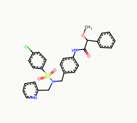 COC(C(=O)Nc1ccc(CN(Cc2ccccn2)S(=O)(=O)c2ccc(Cl)cc2)cc1)c1ccccc1